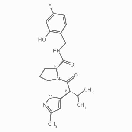 Cc1cc([C@H](C(=O)N2CCC[C@H]2C(=O)NCc2ccc(F)cc2O)C(C)C)on1